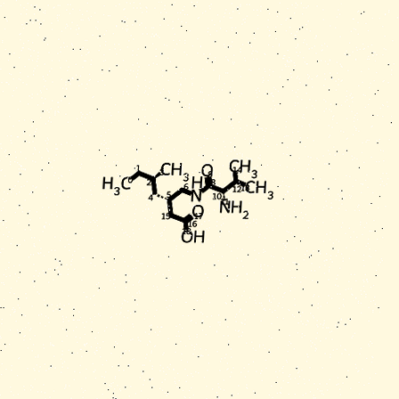 CC[C@@H](C)C[C@H](CNC(=O)[C@@H](N)C(C)C)CC(=O)O